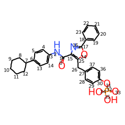 O=C(Nc1ccc(C2CCCCC2)cc1)c1nc(-c2ccccc2)oc1Cc1ccc(OP(=O)(O)O)cc1